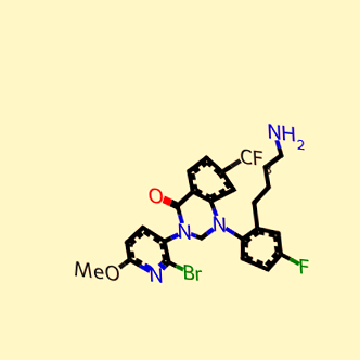 COc1ccc(N2CN(c3ccc(F)cc3CCCCN)c3cc(C(F)(F)F)ccc3C2=O)c(Br)n1